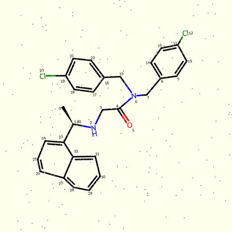 C[C@@H](NCC(=O)N(Cc1ccc(Cl)cc1)Cc1ccc(Cl)cc1)c1cccc2ccccc12